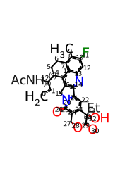 C=C[C@@H](NC(C)=O)[C@H]1CCc2c(C)c(F)cc3nc4c(c1c23)Cn1c-4cc2c(c1=O)COC(=O)[C@]2(O)CC